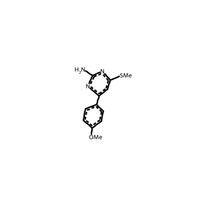 COc1ccc(-c2cc(SC)nc(N)n2)cc1